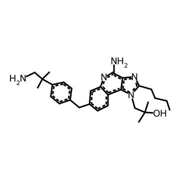 CCCCc1nc2c(N)nc3cc(Cc4ccc(C(C)(C)CN)cc4)ccc3c2n1CC(C)(C)O